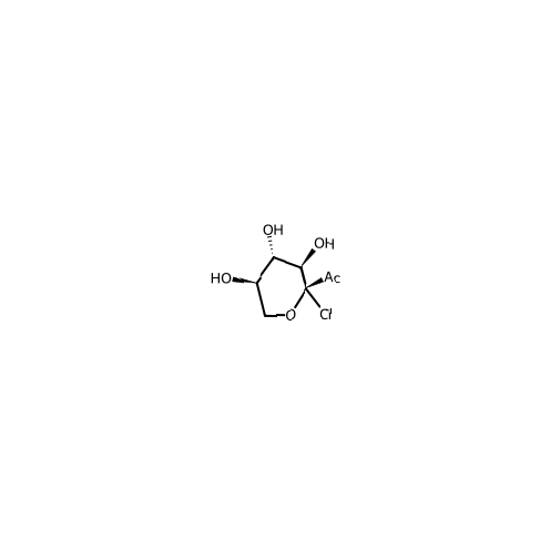 CC(=O)[C@@]1(Cl)OC[C@@H](O)[C@H](O)[C@H]1O